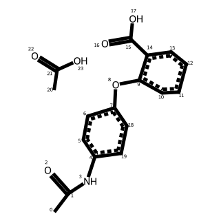 CC(=O)Nc1ccc(Oc2ccccc2C(=O)O)cc1.CC(=O)O